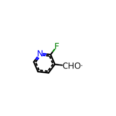 O=[C]c1cccnc1F